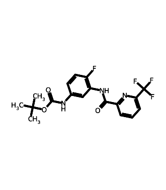 CC(C)(C)OC(=O)Nc1ccc(F)c(NC(=O)c2cccc(C(F)(F)F)n2)c1